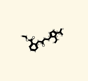 CCOC(=O)c1ccccc1CC(=O)CCC1=CC=C(C(C)C)C1CC